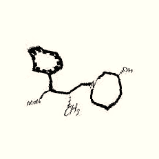 CN[C@@H](c1ccccc1)[C@@H](C)CN1CCC[C@@H](O)C1